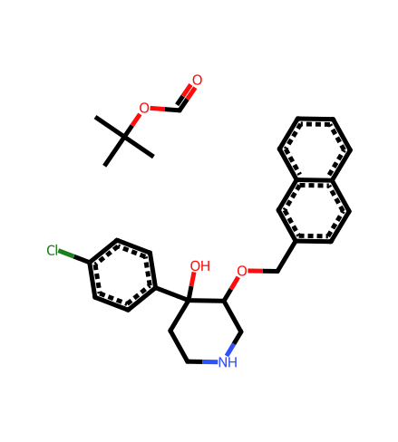 CC(C)(C)OC=O.OC1(c2ccc(Cl)cc2)CCNCC1OCc1ccc2ccccc2c1